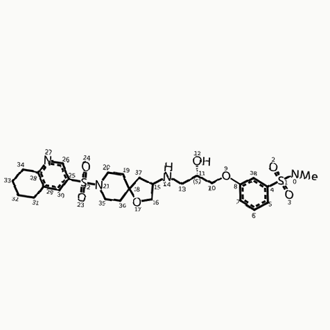 CNS(=O)(=O)c1cccc(OC[C@@H](O)CNC2COC3(CCN(S(=O)(=O)c4cnc5c(c4)CCCC5)CC3)C2)c1